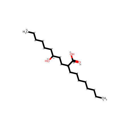 CCCCCCCCC(CCC(O)CCCCCC)C(=O)O